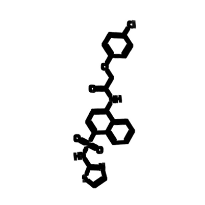 O=C(COc1ccc(Cl)cc1)Nc1ccc(S(=O)(=O)Nc2nccs2)c2ccccc12